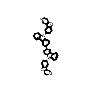 c1ccc2c(c1)c1cc(-c3ccc4c(c3)c3ccccc3n4-c3ccc4oc5ccncc5c4c3)ccc1n2-c1ccc2oc3ccncc3c2c1